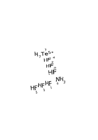 F.F.F.F.F.F.N.[TeH7+5]